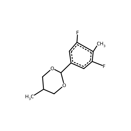 Cc1c(F)cc(C2OCC(C)CO2)cc1F